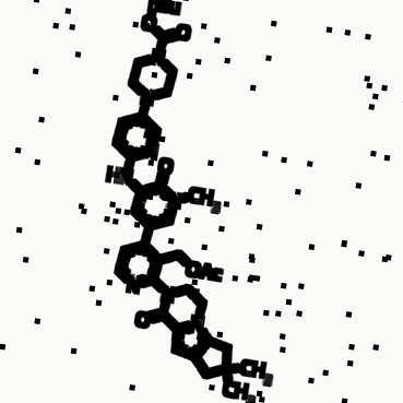 CCCCOC(=O)N1CCN(c2ccc(Nc3cc(-c4ccnc(N5CCn6c(cc7c6CC(C)(C)C7)C5=O)c4COC(C)=O)cn(C)c3=O)nc2)CC1